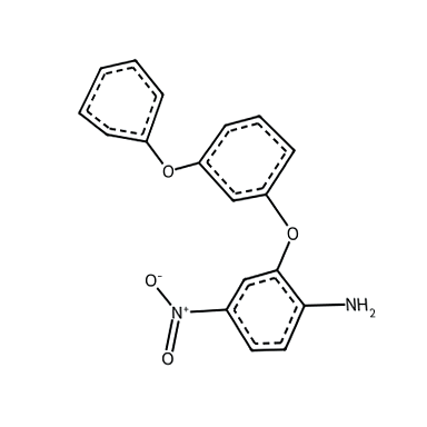 Nc1ccc([N+](=O)[O-])cc1Oc1cccc(Oc2ccccc2)c1